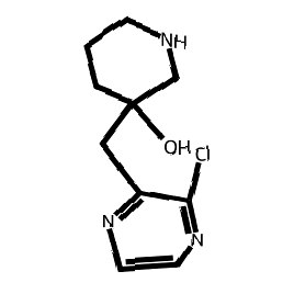 OC1(Cc2nccnc2Cl)CCCNC1